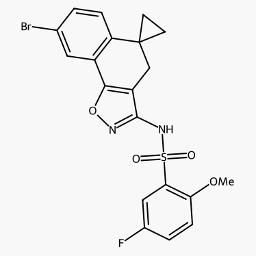 COc1ccc(F)cc1S(=O)(=O)Nc1noc2c1CC1(CC1)c1ccc(Br)cc1-2